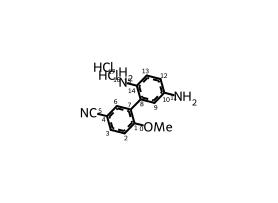 COc1ccc(C#N)cc1-c1cc(N)ccc1N.Cl.Cl